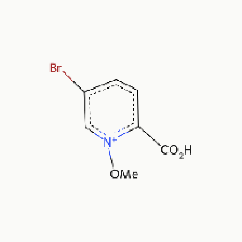 CO[n+]1cc(Br)ccc1C(=O)O